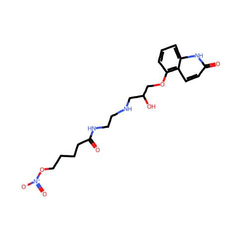 O=C(CCCCO[N+](=O)[O-])NCCNCC(O)COc1cccc2[nH]c(=O)ccc12